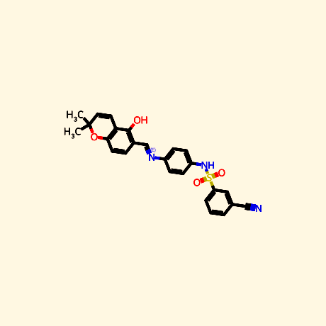 CC1(C)C=Cc2c(ccc(/C=N/c3ccc(NS(=O)(=O)c4cccc(C#N)c4)cc3)c2O)O1